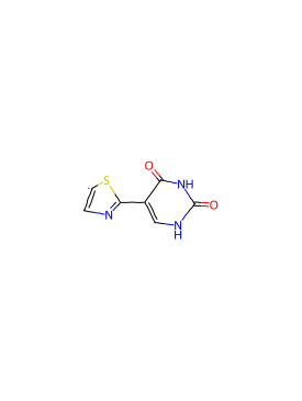 O=c1[nH]cc(-c2nc[c]s2)c(=O)[nH]1